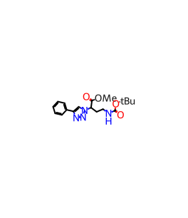 COC(=O)C(CCNC(=O)OC(C)(C)C)n1cc(-c2ccccc2)nn1